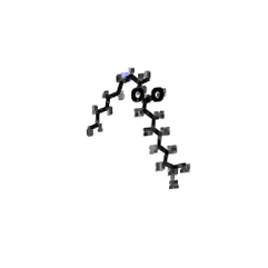 CCCCCC/C=C\C(C)OC(=O)CCCCCCCC(C)C